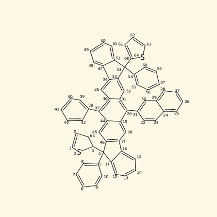 C1=CSC(C2(c3ccccc3)c3ccccc3-c3cc4c(-c5ccc6ccccc6c5)c5cc6c(cc5c(-c5ccccc5)c4cc32)-c2ccccc2C6(c2ccccc2)c2cccs2)C1